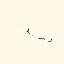 COC(OC)[SiH2]CCCNC(=O)CO